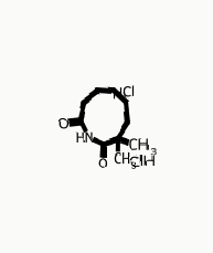 CC1(C)CCCCCC(=O)NC1=O.Cl.Cl